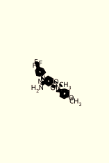 COc1ccc(CN(C)S(=O)(=O)c2ccc3c(c2)c(N)nn3-c2ccc(C(F)(F)F)cc2)cc1